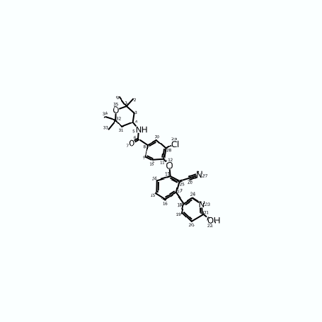 CC1(C)CC(NC(=O)c2ccc(Oc3cccc(-c4ccc(O)nc4)c3C#N)c(Cl)c2)CC(C)(C)O1